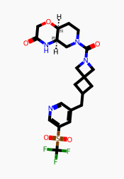 O=C1CO[C@H]2CCN(C(=O)N3CC4(CC(Cc5cncc(S(=O)(=O)C(F)(F)F)c5)C4)C3)C[C@H]2N1